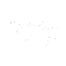 CCCCCCCCCCCC(=O)CC(=O)N[C@H](COCC[C@@H](CCCCCCC)OC(C)=O)COP(=O)(O)OCCNC(=O)NCCOP(=O)(O)OC[C@@H](COCC[C@@H](CCCCCCC)OC(=O)CCCCCCCCCCC)NC(=O)CC(=O)CCCCCCCCCCC